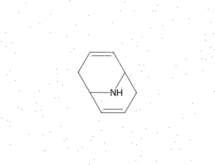 C1=CC2CC=CC(C1)N2